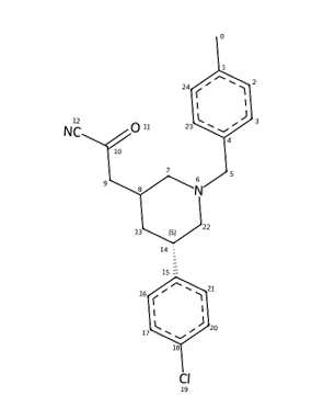 Cc1ccc(CN2CC(CC(=O)C#N)C[C@@H](c3ccc(Cl)cc3)C2)cc1